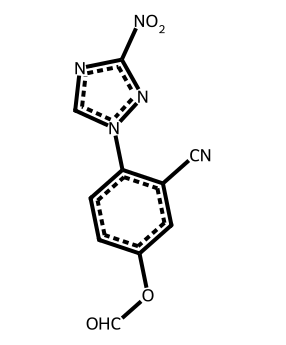 N#Cc1cc(OC=O)ccc1-n1cnc([N+](=O)[O-])n1